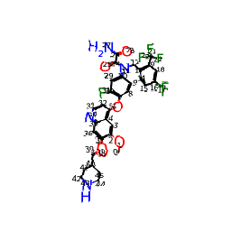 COc1cc2c(Oc3ccc(N(Cc4ccc(F)cc4C(F)(F)F)C(=O)C(N)=O)cc3F)ccnc2cc1OCC1CCNCC1